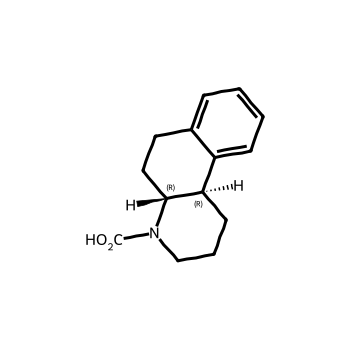 O=C(O)N1CCC[C@@H]2c3ccccc3CC[C@H]21